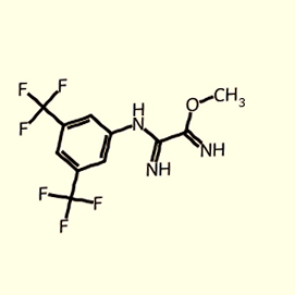 COC(=N)C(=N)Nc1cc(C(F)(F)F)cc(C(F)(F)F)c1